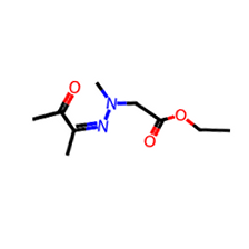 CCOC(=O)CN(C)N=C(C)C(C)=O